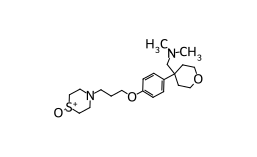 CN(C)CC1(c2ccc(OCCCN3CC[S+]([O-])CC3)cc2)CCOCC1